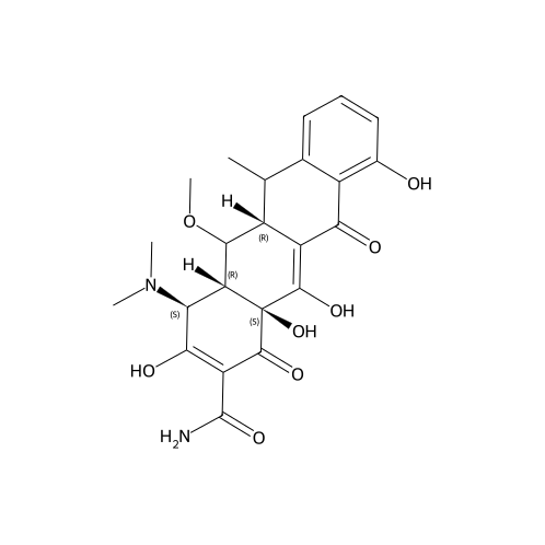 COC1[C@H]2C(=C(O)[C@]3(O)C(=O)C(C(N)=O)=C(O)[C@@H](N(C)C)[C@H]13)C(=O)c1c(O)cccc1C2C